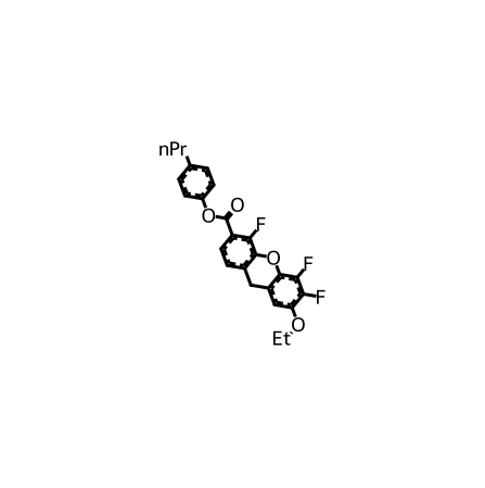 CCCc1ccc(OC(=O)c2ccc3c(c2F)Oc2c(cc(OCC)c(F)c2F)C3)cc1